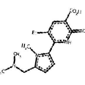 CCc1cc(C(=O)O)c(=O)[nH]c1-c1ccc(CN(C)C)n1C